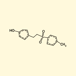 Cc1ccc(S(=O)(=O)CCc2ccc(O)cc2)cc1